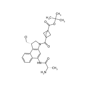 C[C@H](N)C(=O)Nc1cc2c(c3ccccc13)[C@H](CCl)CN2C(=O)C12CC(C(=O)OC(C)(C)C)(C1)C2